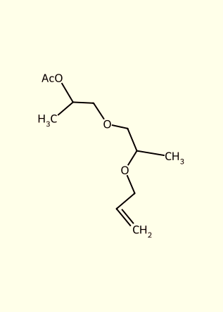 C=CCOC(C)COCC(C)OC(C)=O